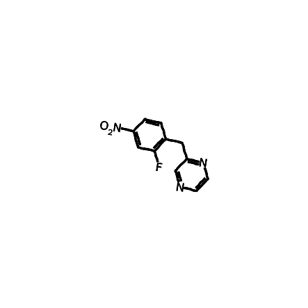 O=[N+]([O-])c1ccc(Cc2cnccn2)c(F)c1